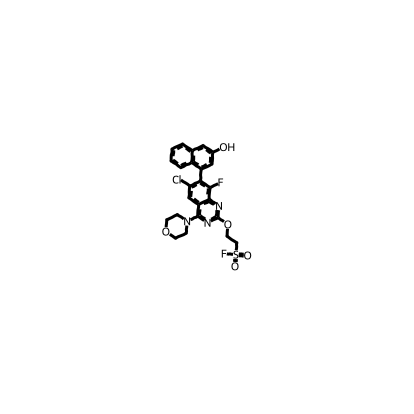 O=S(=O)(F)CCOc1nc(N2CCOCC2)c2cc(Cl)c(-c3cc(O)cc4ccccc34)c(F)c2n1